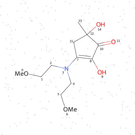 COCCN(CCOC)C1=C(O)C(=O)C(C)(O)C1